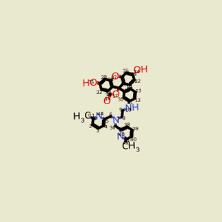 Cc1cccc(CN(CCNc2cccc(C3(OC=O)c4ccc(O)cc4Oc4cc(O)ccc43)c2)Cc2cccc(C)n2)n1